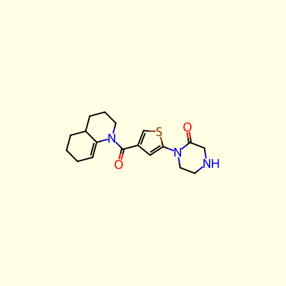 O=C(c1csc(N2CCNCC2=O)c1)N1CCCC2CCCC=C21